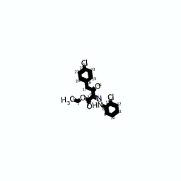 CCOC(=O)/C(=N\Nc1ccccc1Cl)C(=O)Cc1ccc(Cl)cc1